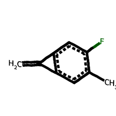 C=C1c2cc(C)c(F)cc21